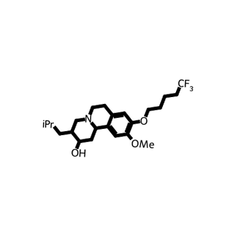 COc1cc2c(cc1OCCCCC(F)(F)F)CCN1CC(CC(C)C)C(O)CC21